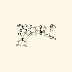 CCCS(=O)(=O)n1c(C(=O)N2CCCCC2)cc2cc(S(=O)(=O)N3CC(C)CC(C)C3)ccc21